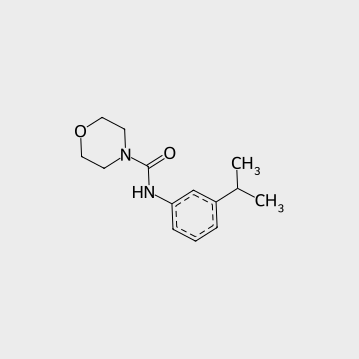 CC(C)c1cccc(NC(=O)N2CCOCC2)c1